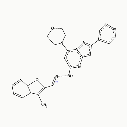 CC1=C(/C=N/Nc2cc(N3CCOCC3)n3nc(-c4ccncc4)cc3n2)OC2C=CC=CC12